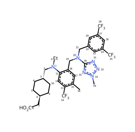 CCN(C[C@H]1CC[C@H](CC(=O)O)CC1)c1cc(C(F)(F)F)c(C)cc1CN(Cc1cc(C(F)(F)F)cc(C(F)(F)F)c1)c1nnn(C)n1